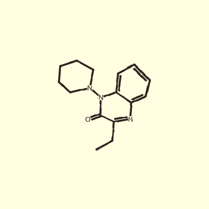 CCc1nc2ccccc2n(N2CCCCC2)c1=O